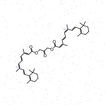 CC(C=C/C=C(/C)C=CC1=C(C)CCCC1(C)C)=CC(=O)OCC(=O)COC(=O)C=C(C)C=C/C=C(/C)C=CC1=C(C)CCCC1(C)C